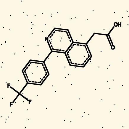 O=C(O)Cc1cccc2c(-c3ccc(C(F)(F)F)cc3)nccc12